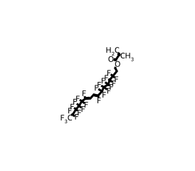 C=C(C)C(=O)OCCC(F)(F)C(F)(F)C(F)(F)C(F)(F)C(F)(F)C(F)=CC=C(F)C(F)(F)C(F)(F)C(F)(F)C(F)(F)C(F)(F)F